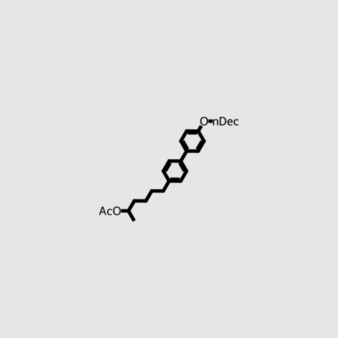 CCCCCCCCCCOc1ccc(-c2ccc(CCCCC(C)OC(C)=O)cc2)cc1